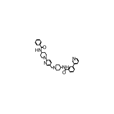 O=C(NC1CCN(Cc2ccc(N3CCC(NC(=O)c4ccccc4)CC3)nc2)CC1)c1cccc(-c2cccnc2)c1